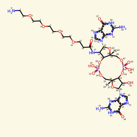 NCCOCCOCCOCCOCCC(=O)NC1C2OP(=O)(O)OC[C@H]3O[C@@H](n4cnc5c(=O)[nH]c(N)nc54)C(O)C3OP(=O)(O)OC[C@H]2O[C@H]1n1cnc2c(=O)[nH]c(N)nc21